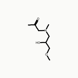 COCC(O)CN(C)CC(C)=O